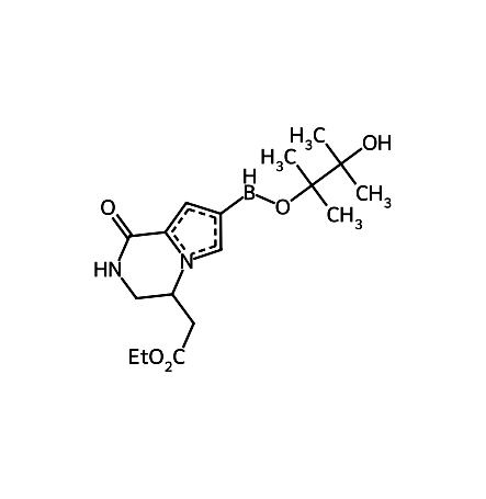 CCOC(=O)CC1CNC(=O)c2cc(BOC(C)(C)C(C)(C)O)cn21